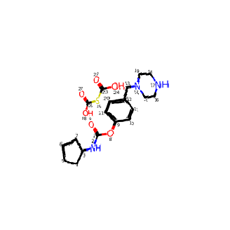 O=C(NC1CCCC1)Oc1ccc(CN2CCNCC2)cc1.O=C(O)SC(=O)O